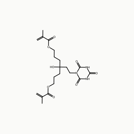 C=C(C)C(=O)OCCCC(O)(CCCOC(=O)C(=C)C)CCn1c(=O)[nH]c(=O)[nH]c1=O